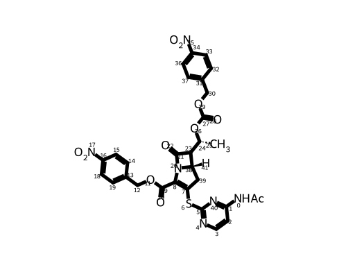 CC(=O)Nc1ccnc(SC2=C(C(=O)OCc3ccc([N+](=O)[O-])cc3)N3C(=O)C([C@@H](C)OC(=O)OCc4ccc([N+](=O)[O-])cc4)[C@@H]3C2)n1